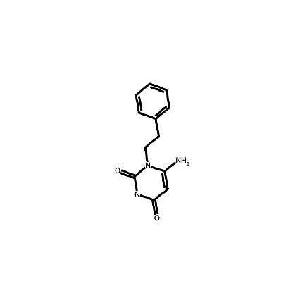 NC1=CC(=O)[N]C(=O)N1CCc1ccccc1